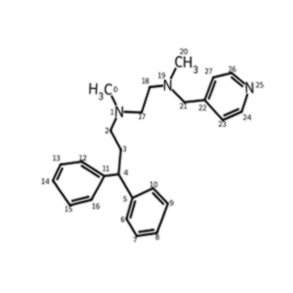 CN(CCC(c1ccccc1)c1ccccc1)CCN(C)Cc1ccncc1